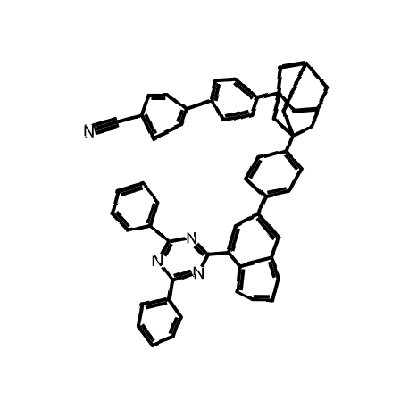 N#Cc1ccc(-c2ccc(C34CC5CC(C3)CC(c3ccc(-c6cc(-c7nc(-c8ccccc8)nc(-c8ccccc8)n7)c7ccccc7c6)cc3)(C5)C4)cc2)cc1